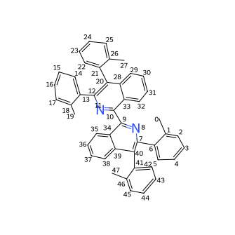 Cc1ccccc1-c1nc(-c2nc(-c3ccccc3C)c(-c3ccccc3C)c3ccccc23)c2ccccc2c1-c1ccccc1C